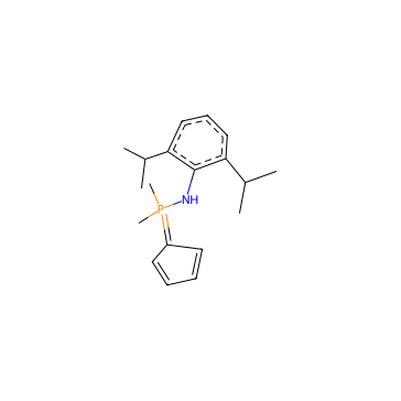 CC(C)c1cccc(C(C)C)c1NP(C)(C)=C1C=CC=C1